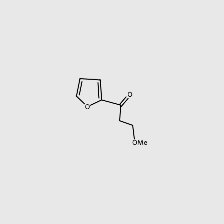 COCCC(=O)c1ccco1